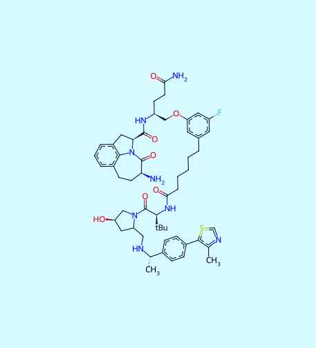 Cc1ncsc1-c1ccc([C@H](C)NCC2C[C@@H](O)CN2C(=O)[C@@H](NC(=O)CCCCCc2cc(F)cc(OC[C@H](CCC(N)=O)NC(=O)[C@@H]3Cc4cccc5c4N3C(=O)[C@@H](N)CC5)c2)C(C)(C)C)cc1